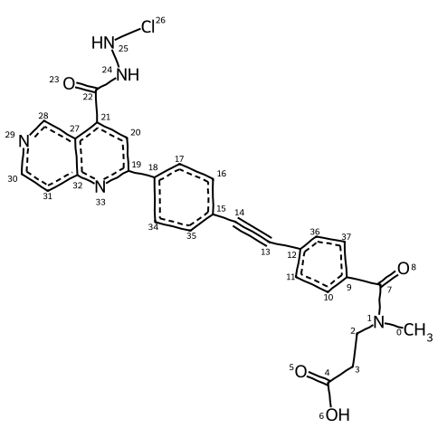 CN(CCC(=O)O)C(=O)c1ccc(C#Cc2ccc(-c3cc(C(=O)NNCl)c4cnccc4n3)cc2)cc1